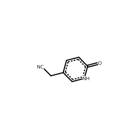 N#CCc1ccc(=O)[nH]c1